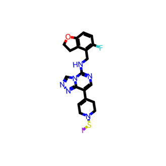 Fc1ccc2c(c1CNc1ncc(C3=CCN(SI)CC3)c3nncn13)CCO2